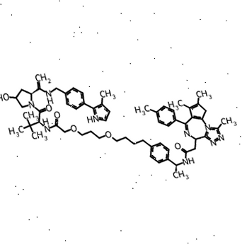 C=C(NCc1ccc(-c2[nH]ccc2C)cc1)[C@@H]1CC(O)CN1C(=O)[C@@H](NC(=O)COCCCOCCCCc1ccc([C@H](C)NC(=O)CC2N=C(c3ccc(C)cc3)C3=C(CC(C)=C3C)n3c(C)nnc32)cc1)C(C)(C)C